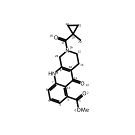 COC(=O)c1cccc2[nH]c3c(c(=O)c12)CCN(C(=O)C1(C)CC1)C3